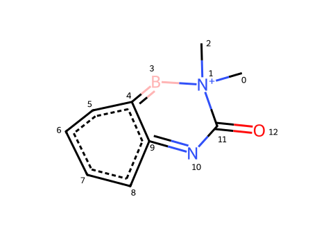 C[N+]1(C)B=c2ccccc2=NC1=O